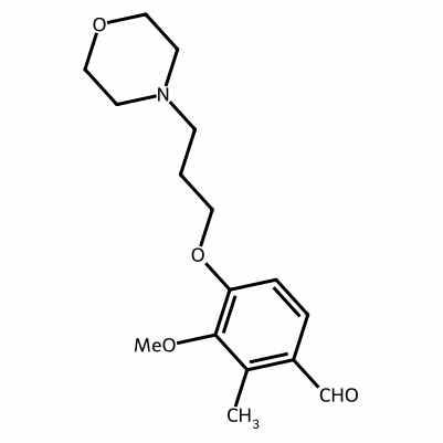 COc1c(OCCCN2CCOCC2)ccc(C=O)c1C